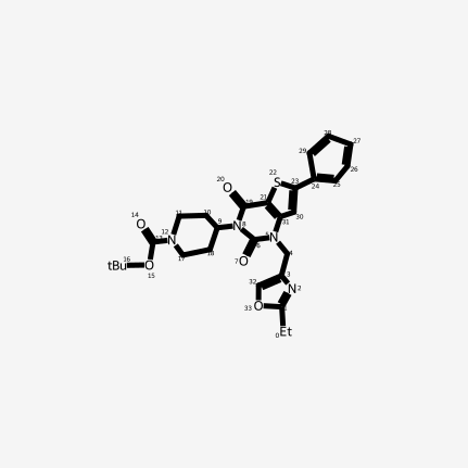 CCc1nc(Cn2c(=O)n(C3CCN(C(=O)OC(C)(C)C)CC3)c(=O)c3sc(-c4ccccc4)cc32)co1